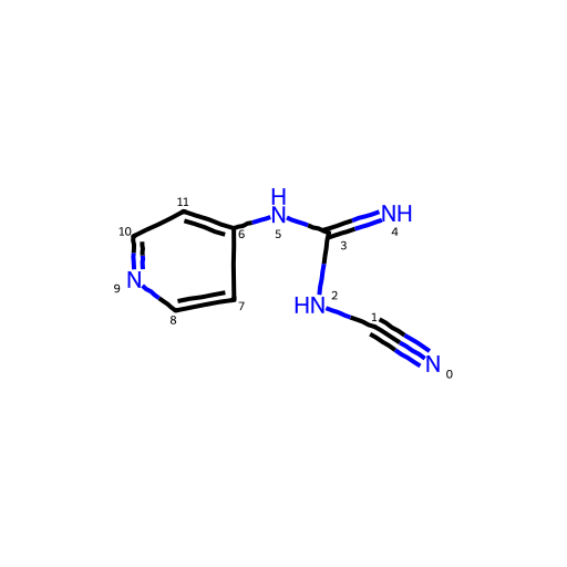 N#CNC(=N)Nc1ccncc1